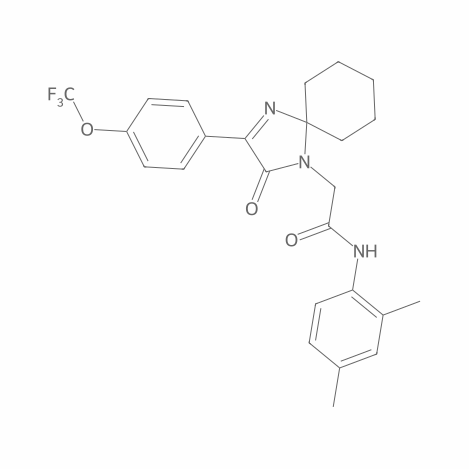 Cc1ccc(NC(=O)CN2C(=O)C(c3ccc(OC(F)(F)F)cc3)=NC23CCCCC3)c(C)c1